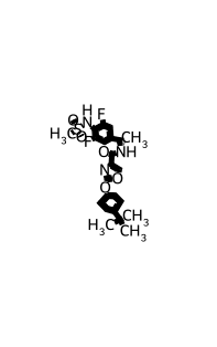 C[C@@H](NC(=O)c1coc(Oc2ccc(C(C)(C)C)cc2)n1)c1cc(F)c(NS(C)(=O)=O)c(F)c1